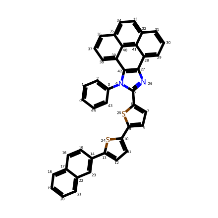 c1ccc(-n2c(-c3ccc(-c4ccc(-c5ccc6ccccc6c5)s4)s3)nc3c4cccc5ccc6cccc(c6c54)c32)cc1